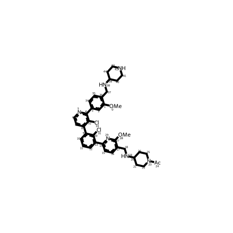 COc1cc(-c2nccc(-c3cccc(-c4ccc(CNC5CCN(C(C)=O)CC5)c(OC)n4)c3Cl)c2Cl)ccc1CNC1CCNCC1